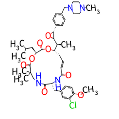 COc1ccc(C[C@H]2NC(=O)/C=C/C[C@@H]([C@H](C)[C@H]3O[C@@H]3c3ccc(CN4CCN(C)CC4)cc3)OC(=O)[C@H](CC(C)C)OC(=O)C(C)(C)CNC2=O)cc1Cl